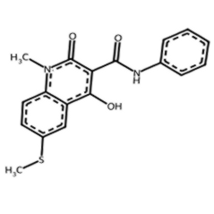 CSc1ccc2c(c1)c(O)c(C(=O)Nc1ccccc1)c(=O)n2C